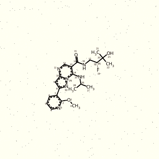 COc1ncccc1-c1cc2ncc(C(=O)NC[C@@H](F)C(C)(C)O)c(NC(C)C)n2n1